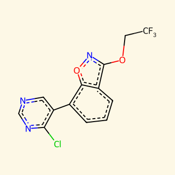 FC(F)(F)COc1noc2c(-c3cncnc3Cl)cccc12